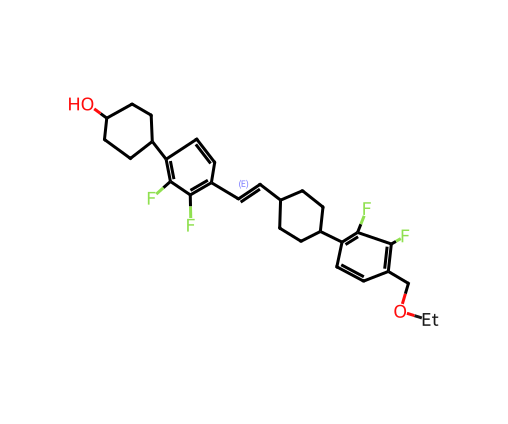 CCOCc1ccc(C2CCC(/C=C/c3ccc(C4CCC(O)CC4)c(F)c3F)CC2)c(F)c1F